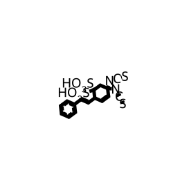 O=S(=O)(O)C1(S(=O)(=O)O)CC(N=C=S)(N=C=S)C=CC1C=Cc1ccccc1